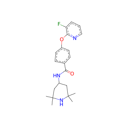 CC1(C)CC(NC(=O)c2ccc(Oc3ncccc3F)cc2)CC(C)(C)N1